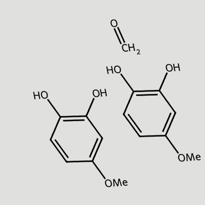 C=O.COc1ccc(O)c(O)c1.COc1ccc(O)c(O)c1